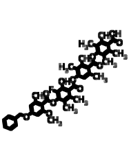 COc1cc(OCc2ccccc2)cc(C)c1C(=O)Oc1c(C)c(C)c(C(=O)Oc2cc(C)c(C(=O)Oc3c(C)c(C)c(C(=O)O)c(C)c3C)c(C)c2C)c(O)c1F